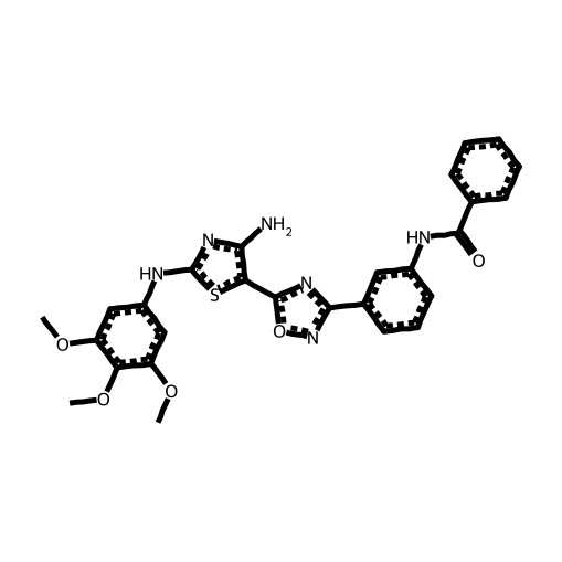 COc1cc(Nc2nc(N)c(-c3nc(-c4cccc(NC(=O)c5ccccc5)c4)no3)s2)cc(OC)c1OC